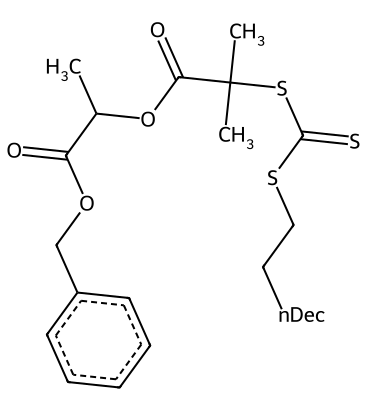 CCCCCCCCCCCCSC(=S)SC(C)(C)C(=O)OC(C)C(=O)OCc1ccccc1